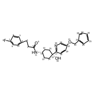 O=C(CCc1ccc(F)cc1)N[C@H]1CC[C@](O)(c2ccc(OCc3ccccc3)cn2)CC1